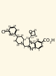 O=C(O)c1ccc2nc(CN3CCC(c4cccc(Cl)n4)CC3)n(C[C@@H]3CCO3)c2c1